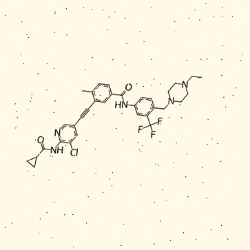 CCN1CCN(Cc2ccc(NC(=O)c3ccc(C)c(C#Cc4cnc(NC(=O)C5CC5)c(Cl)c4)c3)cc2C(F)(F)F)CC1